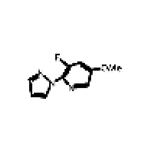 COc1cnc(-n2cccn2)c(F)c1